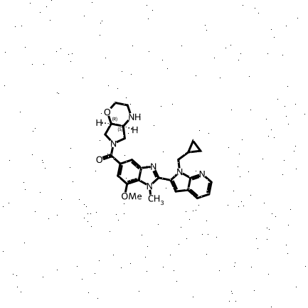 COc1cc(C(=O)N2C[C@@H]3NCCO[C@@H]3C2)cc2nc(-c3cc4cccnc4n3CC3CC3)n(C)c12